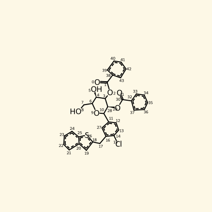 O=C(OC1[C@H](O)C(CO)OC(c2ccc(Cl)c(Cc3cc4ccccc4s3)c2)[C@@H]1OC(=O)c1ccccc1)c1ccccc1